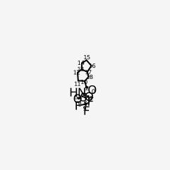 O=C(NS(=O)(=O)C(F)(F)F)C1CCC2CCCC2C1